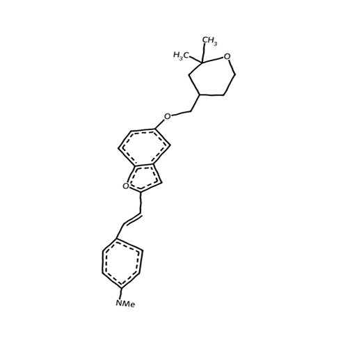 CNc1ccc(C=Cc2cc3cc(OCC4CCOC(C)(C)C4)ccc3o2)cc1